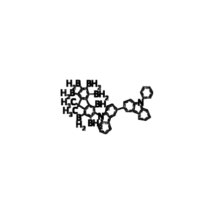 Bc1c(B)c(B)c2c(c1B)-c1c(B)c(-n3c4ccccc4c4cc(-c5ccc6c(c5)c5ccccc5n6-c5ccccc5)ccc43)c(B)c(B)c1C2(C)C